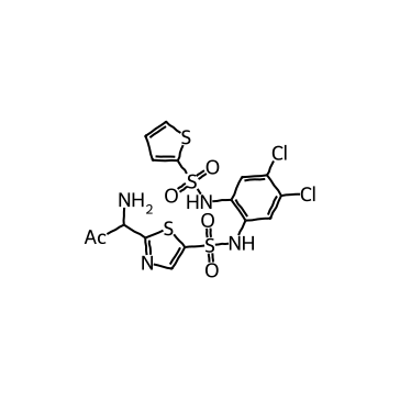 CC(=O)C(N)c1ncc(S(=O)(=O)Nc2cc(Cl)c(Cl)cc2NS(=O)(=O)c2cccs2)s1